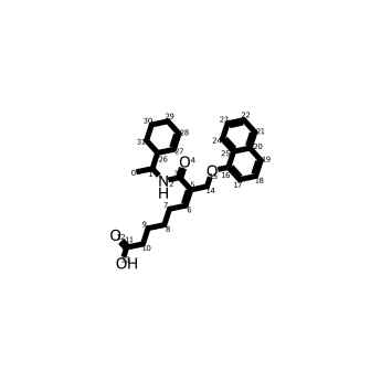 CC(NC(=O)C(=CCCCCC(=O)O)COc1cccc2ccccc12)C1C=CCCC1